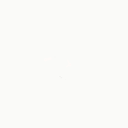 O=C1CC(c2ccccc2)([N+](=O)[O-])Oc2ccccc21